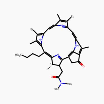 CCCCN(CCCC)C(=O)CC1c2nc(c(CCCC(=O)O)c3[nH]c(cc4nc(cc5[nH]c6c2CC(=O)c6c5C)C(CC)=C4C)c(CC)c3C)[C@H]1C